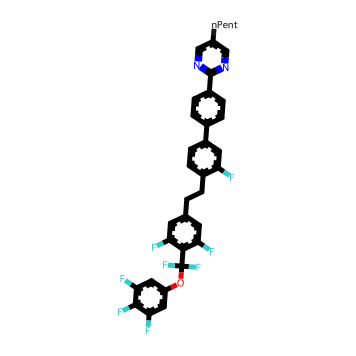 CCCCCc1cnc(-c2ccc(-c3ccc(CCc4cc(F)c(C(F)(F)Oc5cc(F)c(F)c(F)c5)c(F)c4)c(F)c3)cc2)nc1